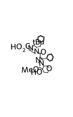 COCC1(O)CCOCC1n1cnc(C(=O)N2CCN(C(=O)O)C(C(C)(C)C)[C@H]2Cc2ccccc2)c1-c1ccccc1